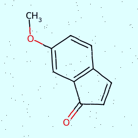 COc1ccc2c(c1)C(=O)C=C2